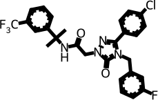 CC(C)(NC(=O)Cn1nc(-c2ccc(Cl)cc2)n(Cc2cccc(F)c2)c1=O)c1cccc(C(F)(F)F)c1